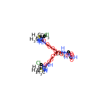 Cc1sc2c(c1C)C(c1ccc(Cl)cc1)=N[C@@H](CC(=O)NCCOCCOCCOCCOCC(C)(COCCOCCOCCOCCNC(=O)C[C@@H]1N=C(c3ccc(Cl)cc3)c3c(sc(C)c3C)-n3c(C)nnc31)COCC(=O)NCCNc1cccc3c1C(=O)N(C1CCC(=O)NC1=O)C3=O)c1nnc(C)n1-2